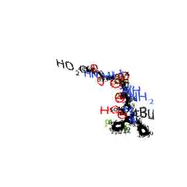 CC(C)(C)[C@H](c1cc(-c2cc(F)ccc2F)cn1Cc1ccccc1)N(CC[C@H](N)C(=O)NCCS(=O)(=O)CCNC(=O)CNC(=O)CCC(=O)O)C(=O)CO